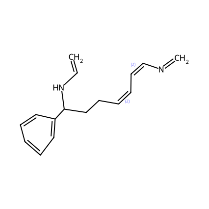 C=CNC(CC/C=C\C=C/N=C)c1ccccc1